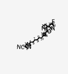 N#Cc1cnn(CCCCCCC23CC(C(=O)N4N=CCC4c4cncc(F)c4)(C2)C3)c1